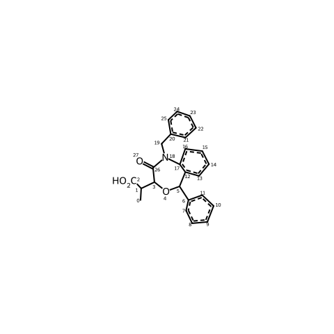 CC(C(=O)O)C1OC(c2ccccc2)c2ccccc2N(Cc2ccccc2)C1=O